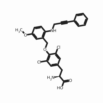 COc1ccc(NCC#Cc2ccccc2)c(COc2c(Cl)cc(C[C@H](N)C(=O)O)cc2Cl)c1